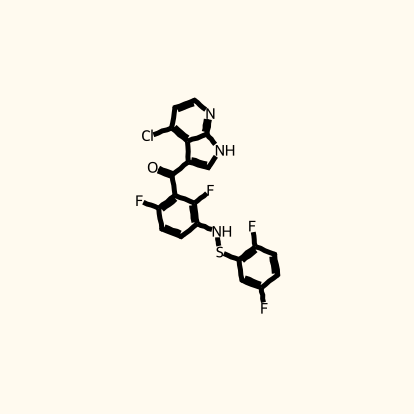 O=C(c1c(F)ccc(NSc2cc(F)ccc2F)c1F)c1c[nH]c2nccc(Cl)c12